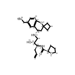 C=CC[C@H](NC(=O)[C@H]1CCCO1)[C@H](O)CN[C@H]1CC2(CCC2)Oc2ncc(CC(C)(C)C)cc21